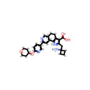 NC1(Cc2[nH]c3c(c2C(=O)O)CCc2cnc(-c4ccc(OC5CCOCC5)nc4)cc2-3)CCC1